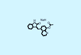 CC(=O)Oc1ccc(C=C2C(=O)Nc3ccccc32)c2cccnc12.[NaH]